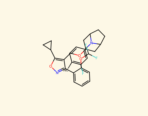 N#Cc1ccc(N2C3CCC2CC(OCc2c(-c4ccccc4OC(F)F)noc2C2CC2)C3)cc1F